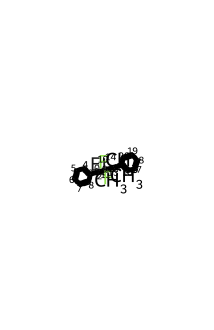 CCC(C)(c1ccccc1)C(F)(F)C(C)(C)c1ccccc1